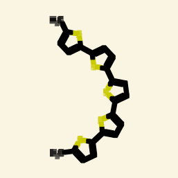 Cc1ccc(-c2ccc(-c3ccc(-c4ccc(-c5ccc(C)s5)s4)s3)s2)s1